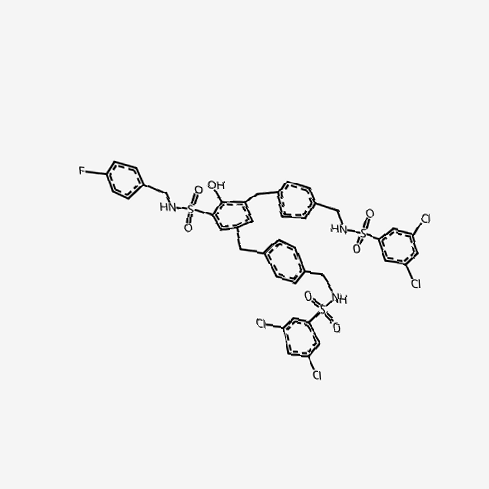 O=S(=O)(NCc1ccc(Cc2cc(Cc3ccc(CNS(=O)(=O)c4cc(Cl)cc(Cl)c4)cc3)c(O)c(S(=O)(=O)NCc3ccc(F)cc3)c2)cc1)c1cc(Cl)cc(Cl)c1